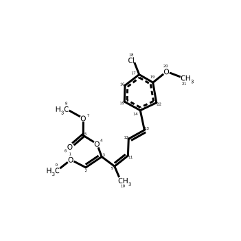 COC=C(OC(=O)OC)C(C)=CC=Cc1ccc(Cl)c(OC)c1